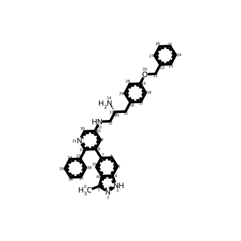 Cc1n[nH]c2ccc(-c3cc(NC[C@H](N)Cc4ccc(OCc5ccccc5)cc4)cnc3-c3ccccc3)cc12